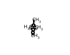 CC#Cc1cc(C)c(C2C(=O)CC3(CCN(C)CC3)CC2=O)c(C)c1